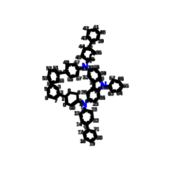 C1=C(c2ccccc2)CCC(N(c2ccc(-c3ccccc3)cc2)c2ccc3c(c2)c2cc(N(c4ccc(-c5ccccc5)cc4)c4ccc(-c5ccccc5)cc4)ccc2n3-c2ccccc2)=C1